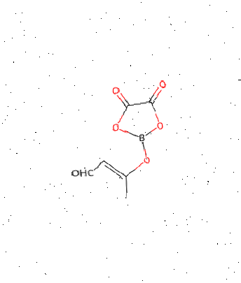 CC(=CC=O)OB1OC(=O)C(=O)O1